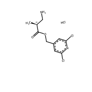 C[C@@H](CN)C(=O)OCc1cc(Cl)nc(Cl)c1.Cl